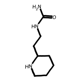 NC(=O)NCCC1CCCCN1